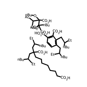 CCCCC(CC)CC(CCCCCCCC(=O)O)(CC(CC)CCCC)C(=O)O.CCCCC(CC)Cc1ccc(C(=O)O)c(C(=O)O)c1CC(CC)CCCC.CCCCOC(C(=O)O)(C(C(C)=O)C(=O)O)C(CCCC)(CCCC)C(=O)O